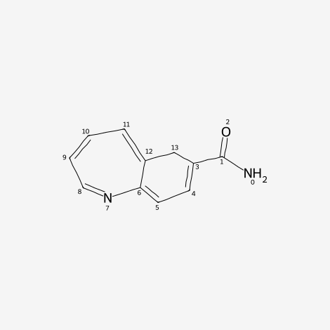 NC(=O)C1=CC=C2N=CC=CC=C2C1